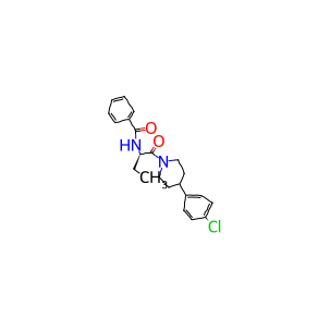 CC[C@@H](NC(=O)c1ccccc1)C(=O)N1CCC(c2ccc(Cl)cc2)CC1